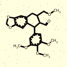 COCC1Cc2cc3c(cc2C(c2cc(OC)c(OC)c(OC)c2)C1C=O)OCO3